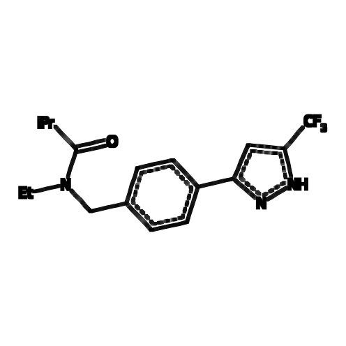 CCN(Cc1ccc(-c2cc(C(F)(F)F)[nH]n2)cc1)C(=O)C(C)C